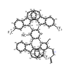 C=C/C=C\c1c(C)n(-c2nc(-n3c4ccccc4c4ccc(C(F)(F)F)cc43)c(-n3c4ccccc4c4ccc(C(F)(F)F)cc43)c(C#N)c2-n2c3ccccc3c3ccc(C(F)(F)F)cc32)c2ccccc12